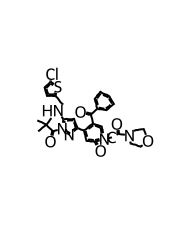 CC(C)(C)C(=O)n1nc(-c2cc(=O)n(CC(=O)N3CCOCC3)cc2C(=O)c2ccccc2)cc1NCc1ccc(Cl)s1